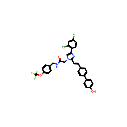 O=C(Cn1cc(-c2ccc(Cl)cc2Cl)nc1C=Cc1ccc(-c2ccc(O)cc2)cc1)NCc1ccc(OC(F)(F)F)cc1